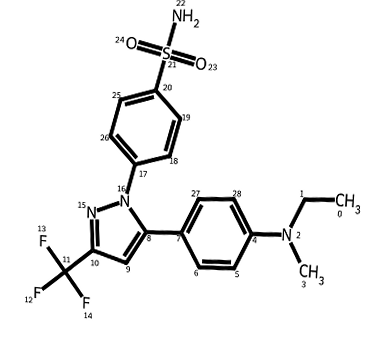 CCN(C)c1ccc(-c2cc(C(F)(F)F)nn2-c2ccc(S(N)(=O)=O)cc2)cc1